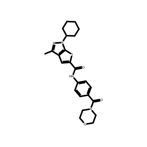 Cc1nn(C2CCCCC2)c2sc(C(=O)Nc3ccc(C(=O)N4CCOCC4)cc3)cc12